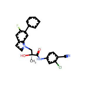 C[C@](O)(Cn1ccc2cc(F)c(-c3ccccc3)cc21)C(=O)Nc1ccc(C#N)c(Cl)c1